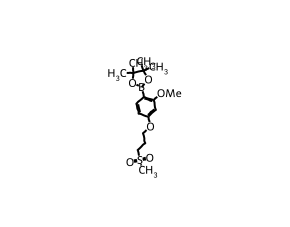 COc1cc(OCCCS(C)(=O)=O)ccc1B1OC(C)(C)C(C)(C)O1